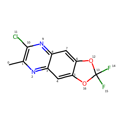 Cc1nc2cc3c(cc2nc1Cl)OC(F)(F)O3